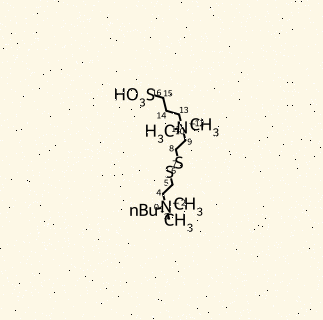 CCCC[N+](C)(C)CCSSCC[N+](C)(C)CCCS(=O)(=O)O